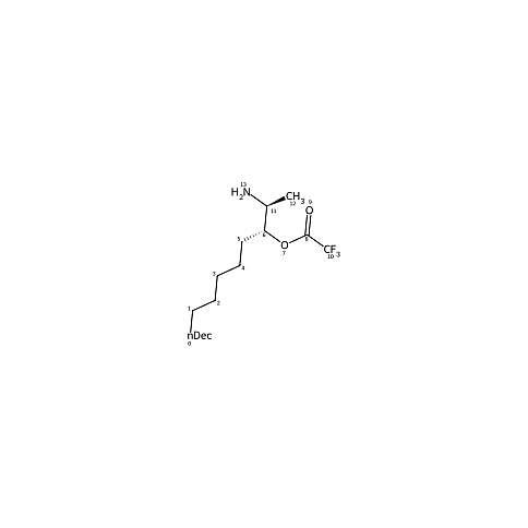 CCCCCCCCCCCCCCC[C@@H](OC(=O)C(F)(F)F)[C@H](C)N